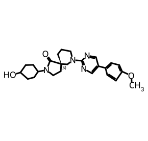 COc1ccc(-c2cnc(N3CCC[C@]4(CCN(C5CCC(O)CC5)C4=O)C3)nc2)cc1